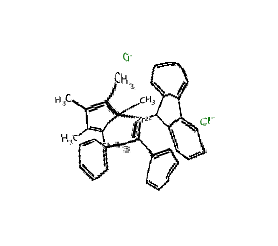 CC1=C(C)[C](C)([Zr+2](=[C](c2ccccc2)c2ccccc2)[CH]2c3ccccc3-c3ccccc32)C(C)=C1C.[Cl-].[Cl-]